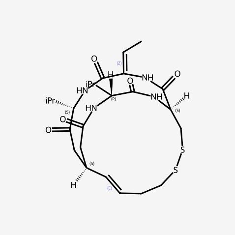 C/C=C1\NC(=O)[C@H]2CSSCC/C=C/[C@H](CC(=O)N[C@H](C(C)C)C(=O)N2)CC(=O)[C@H](C(C)C)NC1=O